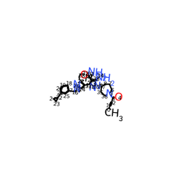 CC#CC(=O)N1CCC[C@H](n2nc(-c3cn(Cc4cccc(C5CC5)c4)nc3C)c(C(N)=O)c2N)CC1